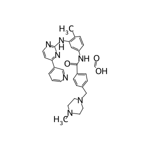 Cc1ccc(NC(=O)c2ccc(CN3CCN(C)CC3)cc2)cc1Nc1nccc(-c2cccnc2)n1.O=CO